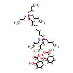 CCCC[PH](CCCC)(CCCC)CCCCCCCC[PH](CCCC)(CCCC)CCCC.O=C(O)c1ccccc1O.O=C(O)c1ccccc1O